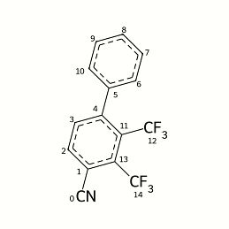 N#Cc1ccc(-c2ccccc2)c(C(F)(F)F)c1C(F)(F)F